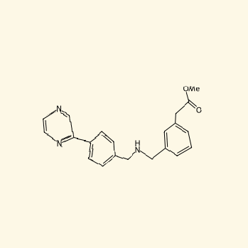 COC(=O)Cc1cccc(CNCc2ccc(-c3cnccn3)cc2)c1